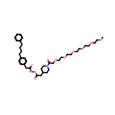 COCCOCCOCCOCCOCCOCC(=O)N1CCC(CC(=O)ONC(=O)Cc2ccc(CCCCc3ccccc3)cc2)CC1